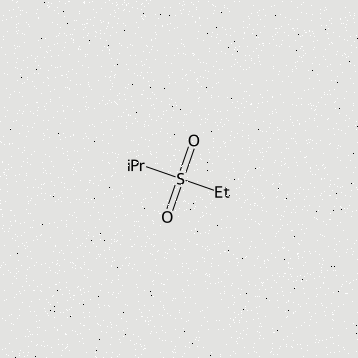 [CH2]CS(=O)(=O)C(C)C